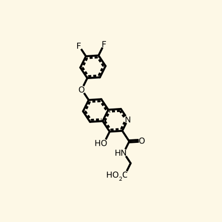 O=C(O)CNC(=O)c1ncc2cc(Oc3ccc(F)c(F)c3)ccc2c1O